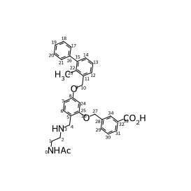 CC(=O)NCCNCc1ccc(OCc2cccc(-c3ccccc3)c2C)cc1OCc1cccc(C(=O)O)c1